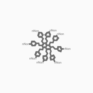 CCCCCCCCCc1ccc(CCc2c(CCc3ccc(CCCCCCCCC)cc3)c(CCc3ccc(CCCCCCCCC)cc3)c3c(CCc4ccc(CCCCCCCCC)cc4)c(CCc4ccc(CCCCCCCCC)cc4)c(CCc4ccc(CCCCCCCCC)cc4)c(CCc4ccc(CCCCCCCCC)cc4)c3c2CCc2ccc(CCCCCCCCC)cc2)cc1